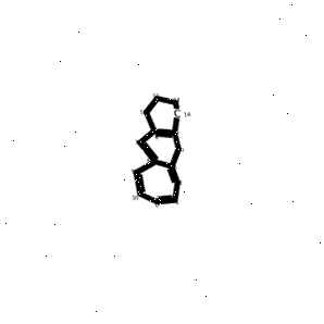 C1=CC=C2CC3=C(C=C2C=C1)CCCC3